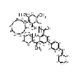 Cc1c(C(=O)NCC2C(C)CC(C)N(C3CCCCCCCCC3)C2O)cc(-c2ccc(CN3CCOCC3)cc2)cc1N(C)C1CCCCC1